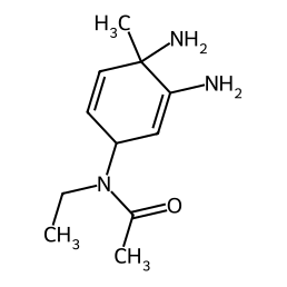 CCN(C(C)=O)C1C=CC(C)(N)C(N)=C1